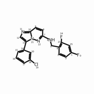 Fc1ccc(CNc2ccc3ncc(-c4cccc(Cl)c4)n3n2)c(F)c1